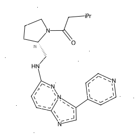 CC(C)CC(=O)N1CCC[C@H]1CNc1ccc2ncc(-c3ccncc3)n2n1